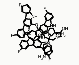 NC1CCN(C(CN2CC(O)C2)(CC(CCOc2c3[nH]c4ccc(F)cc4c3cc3c2[nH]c2ccc(F)cc23)(Oc2c3[nH]c4ccc(F)cc4c3cc3c2[nH]c2ccc(F)cc23)N2CCC(N)C2)Oc2c3[nH]c4ccc(F)cc4c3cc3c2[nH]c2ccc(F)cc23)CC1